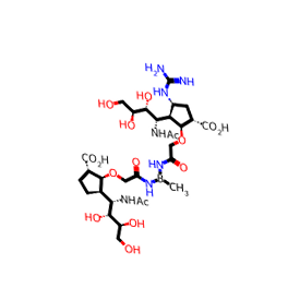 CB(NC(=O)CO[C@H]1[C@@H]([C@H](NC(C)=O)[C@@H](O)[C@@H](O)CO)CC[C@@H]1C(=O)O)NC(=O)CO[C@H]1[C@@H]([C@H](NC(C)=O)[C@@H](O)[C@@H](O)CO)[C@H](NC(=N)N)C[C@@H]1C(=O)O